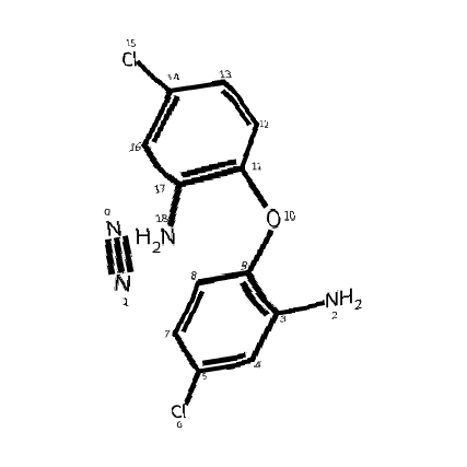 N#N.Nc1cc(Cl)ccc1Oc1ccc(Cl)cc1N